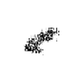 CCN(CCO[Si](C)(C)C(C)(C)C)CC(COc1ccc2c(c1)cc(-c1cc(OC)c(OS(C)(=O)=O)c3c1C(=O)NC3)n2C(=O)OC(C)(C)C)O[Si](C)(C)C(C)(C)C